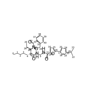 CCCCC[C@@H](C(=O)NCNC(=O)c1ccc(-c2ccc(C(C)C)cc2)o1)[C@@H](CC)N(C=O)OCc1ccccc1